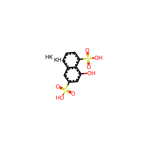 O=S(=O)(O)c1cc(O)c2c(S(=O)(=O)O)cccc2c1.[KH].[KH]